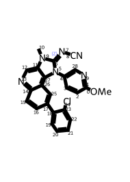 COc1ccc(-n2/c(=N\C#N)n(C)c3cnc4ccc(-c5ccccc5Cl)cc4c32)cn1